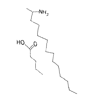 CCCCC(=O)O.CCCCCCCCCCCCC(C)N